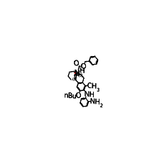 CCCCOc1cc2c(c(C)c1Nc1ccccc1N)C[C@H]1[C@H]3CCCC[C@@]23CCN1C(=O)OCc1ccccc1